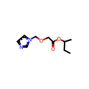 CCC(C)OC(=O)COCn1ccnc1